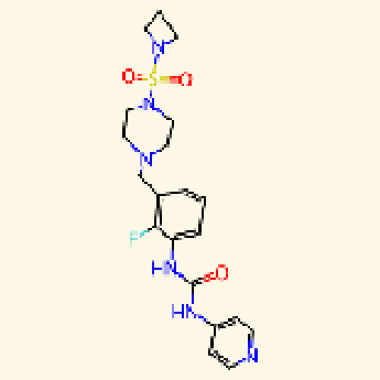 O=C(Nc1ccncc1)Nc1cccc(CN2CCN(S(=O)(=O)N3CCC3)CC2)c1F